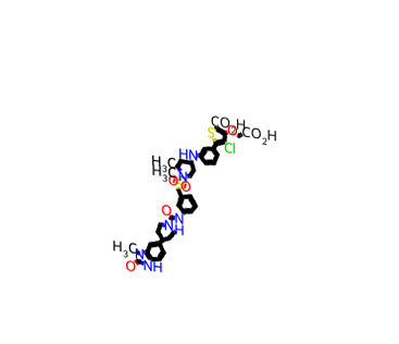 Cn1c(=O)[nH]c2ccc(C3CCN(C(=O)Nc4cccc(CS(=O)(=O)N5CC[C@H](Nc6cccc(-c7sc(C(=O)O)c(OCC(=O)O)c7Cl)c6)CC5(C)C)c4)CC3)cc21